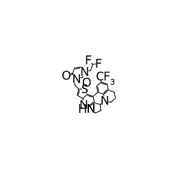 O=c1ccn(CC(F)F)c(=O)n1Cc1cc2nccc(-c3cc(C(F)(F)F)cc4c3N(C3CCNC3)CCC4)c2s1